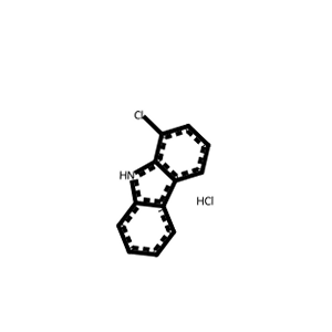 Cl.Clc1cccc2c1[nH]c1ccccc12